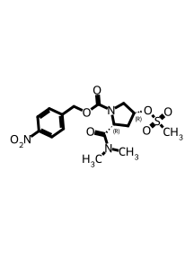 CN(C)C(=O)[C@H]1C[C@@H](OS(C)(=O)=O)CN1C(=O)OCc1ccc([N+](=O)[O-])cc1